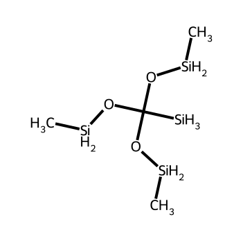 C[SiH2]OC([SiH3])(O[SiH2]C)O[SiH2]C